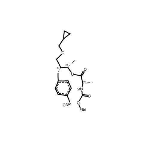 COc1ccc(C[C@H](COCC2CC2)[C@H](C)OC(=O)[C@H](C)NC(=O)OC(C)(C)C)cc1